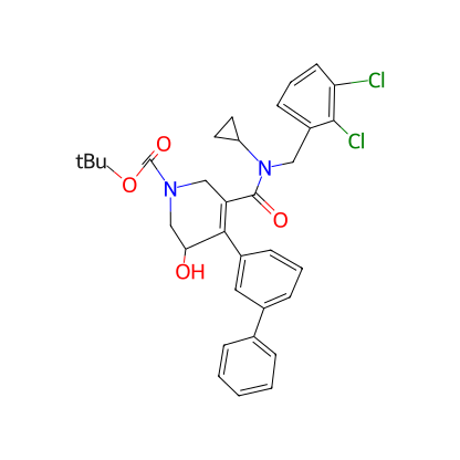 CC(C)(C)OC(=O)N1CC(C(=O)N(Cc2cccc(Cl)c2Cl)C2CC2)=C(c2cccc(-c3ccccc3)c2)C(O)C1